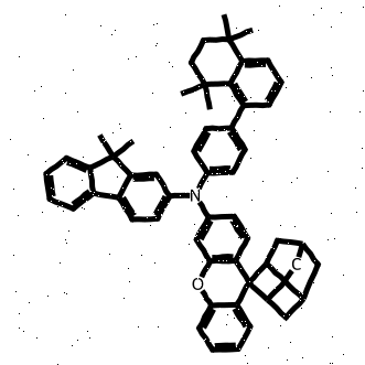 CC1(C)CCC(C)(C)c2c(-c3ccc(N(c4ccc5c(c4)Oc4ccccc4C54C5CC6CC7CC4C75C6)c4ccc5c(c4)C(C)(C)c4ccccc4-5)cc3)cccc21